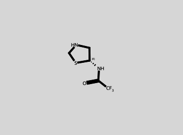 O=C(N[C@H]1CNCS1)C(F)(F)F